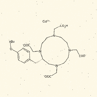 CCCCOc1ccc(C[C@H]2CN(CC(=O)[O-])CCN(CC(=O)[O-])CCN(CC(=O)O)CCN2CC(=O)[O-])cc1.[Gd+3]